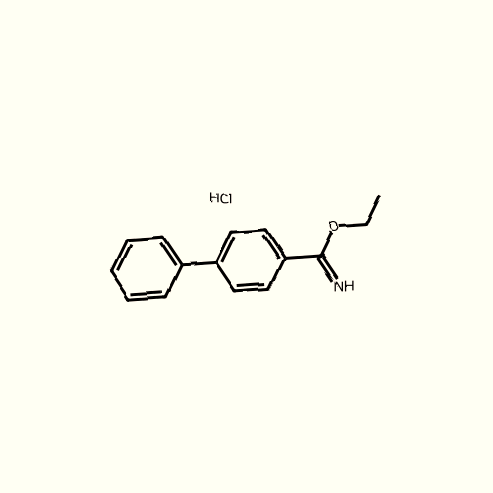 CCOC(=N)c1ccc(-c2ccccc2)cc1.Cl